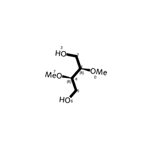 CO[C@H](CO)[C@@H](CO)OC